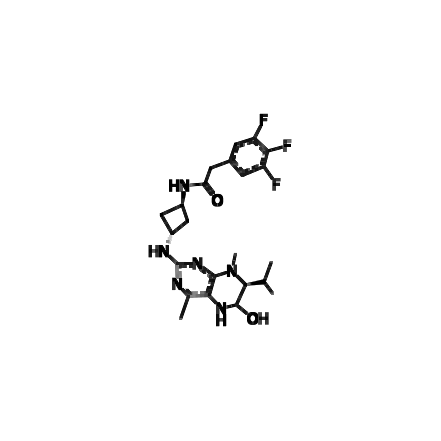 Cc1nc(N[C@H]2C[C@H](NC(=O)Cc3cc(F)c(F)c(F)c3)C2)nc2c1NC(O)[C@H](C(C)C)N2C